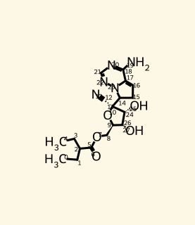 CCC(CC)C(=O)OC[C@H]1O[C@@](C#N)(C2CC=C3C(N)=NC=NN32)[C@H](O)[C@@H]1O